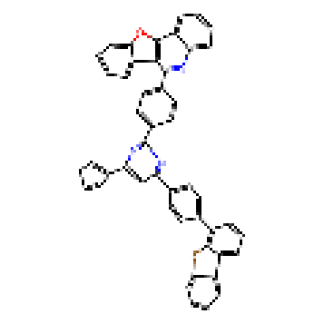 C1=CC(c2cc(-c3ccc(-c4cccc5c4sc4ccccc45)cc3)nc(-c3ccc(-c4nc5ccccc5c5oc6ccccc6c45)cc3)n2)=CC1